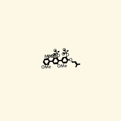 COc1cccc(OC)c1-c1cc(OC)c(-c2ccc(OCC=C(C)C)c(OS(C)(=O)=O)c2)c(OS(C)(=O)=O)c1OC